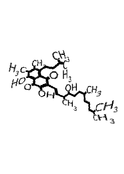 Cc1c(C)c(CCC(C)C)c2c(c1O)C(=O)C(O)=C(CCC(C)C(O)CCC(C)CCCC(C)C)C2=O